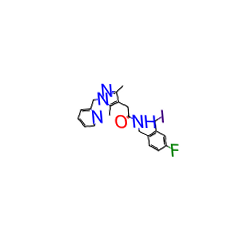 Cc1nn(Cc2ccccn2)c(C)c1CC(=O)NCc1ccc(F)cc1CI